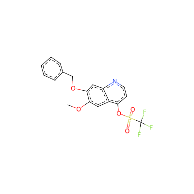 COc1cc2c(OS(=O)(=O)C(F)(F)F)ccnc2cc1OCc1ccccc1